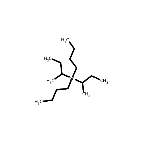 CCC[CH2][Sn]([CH2]CCC)([CH](C)CC)[CH](C)CC